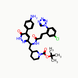 CC(C)(C)OC(=O)N1CCCC(CC(NC(=O)C=Cc2cc(Cl)ccc2-n2cnnn2)c2cc(-c3ccc(N)cc3)c(=O)[nH]n2)C1